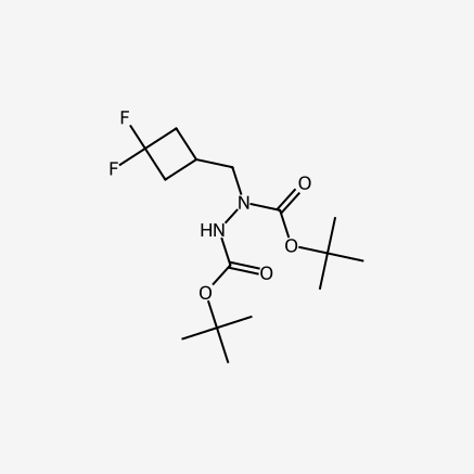 CC(C)(C)OC(=O)NN(CC1CC(F)(F)C1)C(=O)OC(C)(C)C